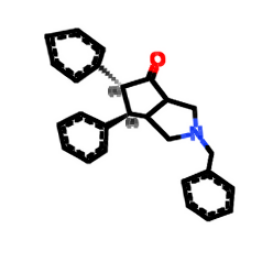 O=C1C2CN(Cc3ccccc3)CC2[C@@H](c2ccccc2)[C@@H]1c1ccccc1